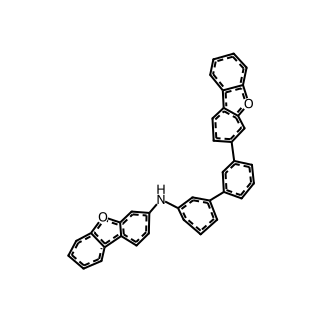 c1cc(Nc2ccc3c(c2)oc2ccccc23)cc(-c2cccc(-c3ccc4c(c3)oc3ccccc34)c2)c1